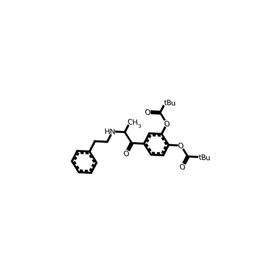 CC(NCCc1ccccc1)C(=O)c1ccc(OC(=O)C(C)(C)C)c(OC(=O)C(C)(C)C)c1